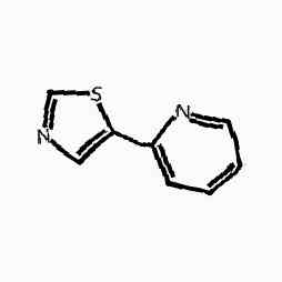 [c]1ccc(-c2cncs2)nc1